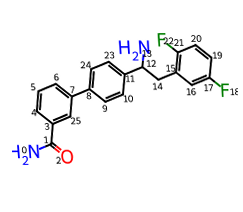 NC(=O)c1cccc(-c2ccc(C(N)Cc3cc(F)ccc3F)cc2)c1